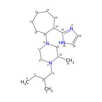 CCC(C)CN1CCN(C2CCCCCC2c2ncc[nH]2)CC1C